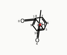 O=c1[pH]c(=O)c2ccc1cc2